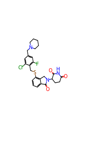 O=C1CCC(N2Cc3c(SCc4c(F)cc(CN5CCCCC5)cc4Cl)cccc3C2=O)C(=O)N1